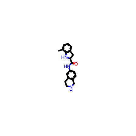 Cc1cccc2c1NC(C(=O)Nc1ccc3c(c1)CCNC3)C2